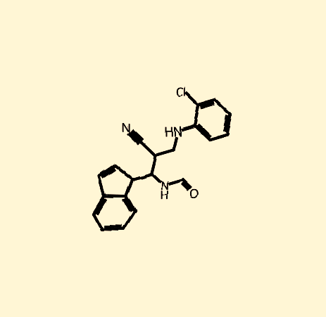 N#CC(CNc1ccccc1Cl)C(NC=O)C1C=Cc2ccccc21